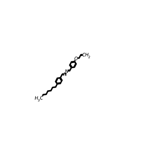 C=CCOc1ccc(C=NN=Cc2ccc(CCCCCCC)cc2)cc1